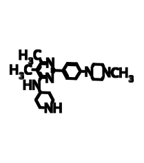 Cc1nc(C2=CCC(N3CCN(C)CC3)C=C2)nc(NC2CCNCC2)c1C